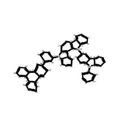 c1ccc(-n2c3ccccc3c3cc(-n4c5ccccc5c5ccc6c(c7ccccc7n6-c6cccc(-c7ccc8c9ccccc9c9ccccc9c8c7)c6)c54)ccc32)cc1